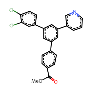 COC(=O)c1ccc(-c2cc(-c3cccnc3)cc(-c3ccc(Cl)c(Cl)c3)c2)cc1